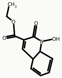 CCOC(=O)C1=CC2C=CC=CC2N(O)C1=O